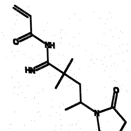 C=CC(=O)NC(=N)C(C)(C)CC(C)N1CCCC1=O